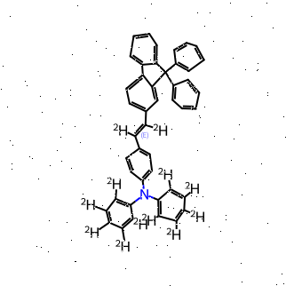 [2H]/C(=C(/[2H])c1ccc2c(c1)C(c1ccccc1)(c1ccccc1)c1ccccc1-2)c1ccc(N(c2c([2H])c([2H])c([2H])c([2H])c2[2H])c2c([2H])c([2H])c([2H])c([2H])c2[2H])cc1